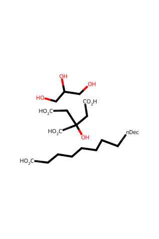 CCCCCCCCCCCCCCCCCC(=O)O.O=C(O)CC(O)(CC(=O)O)C(=O)O.OCC(O)CO